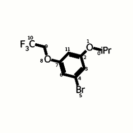 CC(C)Oc1cc(Br)cc(OCC(F)(F)F)c1